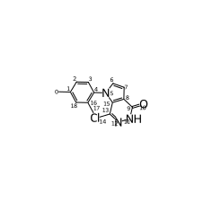 Cc1ccc(-n2ccc3c(=O)[nH]nc(Cl)c32)c(C)c1